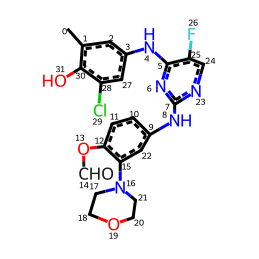 Cc1cc(Nc2nc(Nc3ccc(OC=O)c(N4CCOCC4)c3)ncc2F)cc(Cl)c1O